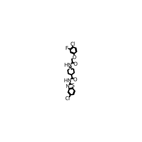 O=C(COc1ccc(Cl)c(F)c1)NN1CCC(C(=O)Nc2nc3cc(Cl)ccc3s2)CC1